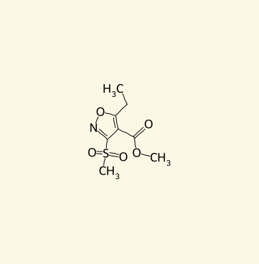 CCc1onc(S(C)(=O)=O)c1C(=O)OC